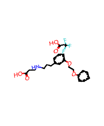 O=C(O)C(F)(F)F.O=C(O)CCNCCCc1cccc(OCCOc2ccccc2)c1